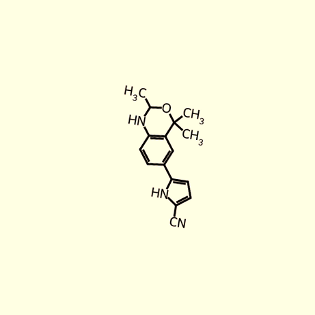 CC1Nc2ccc(-c3ccc(C#N)[nH]3)cc2C(C)(C)O1